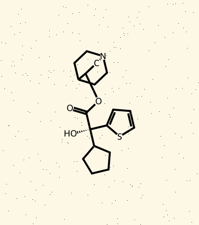 O=C(OC1CN2CCC1CC2)[C@@](O)(c1cccs1)C1CCCC1